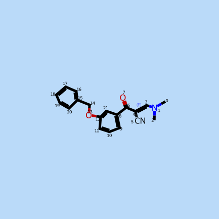 CN(C)/C=C(\C#N)C(=O)c1cccc(OCc2ccccc2)c1